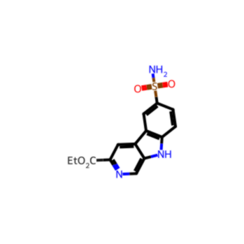 CCOC(=O)c1cc2c(cn1)[nH]c1ccc(S(N)(=O)=O)cc12